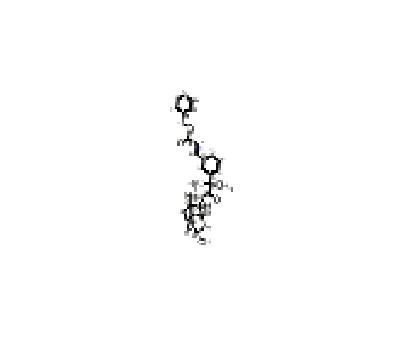 CC(C)(C(=O)N[C@@H]1[C@@H]2CC3C[C@H]1C[C@@](O)(C3)C2)c1cccc(/C=C/C(=O)OCc2ccccc2)c1